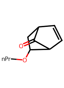 CCCOC1CC2C=CC1C2=O